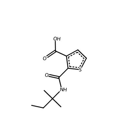 CCC(C)(C)NC(=O)c1sccc1C(=O)O